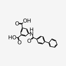 O=C(O)c1cc(NC(=O)c2ccc(-c3ccccc3)cc2)cc(C(=O)O)c1